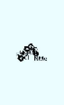 CNC1CCN(S(=O)(=O)N2CCCc3ccc(NC(=O)c4c(F)cccc4Cl)cc32)C1